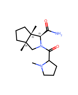 CN1CCCC1C(=O)N1C[C@]2(C)CCC[C@]2(C)[C@H]1C(N)=O